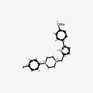 COc1ccc(-c2ccc(CN3CCN(c4ccc(C)cc4)CC3)o2)cc1